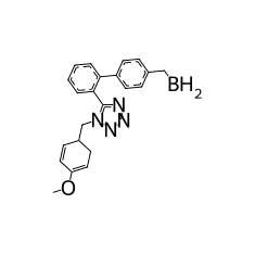 BCc1ccc(-c2ccccc2-c2nnnn2CC2C=CC(OC)=CC2)cc1